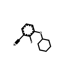 N#Cc1cccc(OC2CCCCC2)c1F